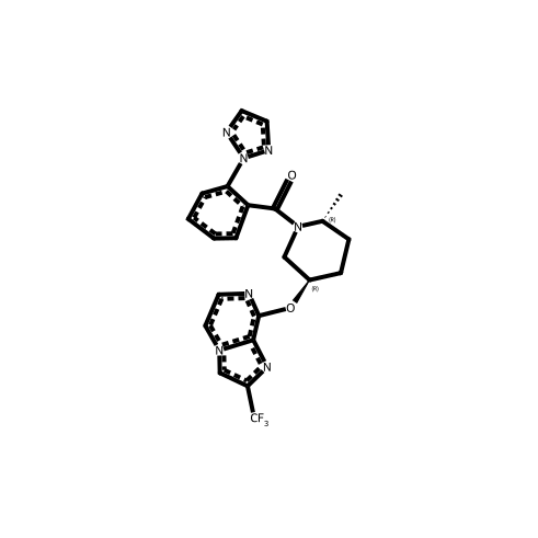 C[C@@H]1CC[C@@H](Oc2nccn3cc(C(F)(F)F)nc23)CN1C(=O)c1ccccc1-n1nccn1